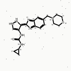 O=C(NC1=CNN/C1=C1/N=c2ccc(CN3CCOCC3)cc2=N1)NC1CC1